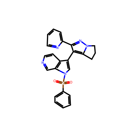 O=S(=O)(c1ccccc1)n1cc(-c2c(-c3ccccn3)nn3c2CCC3)c2ccncc21